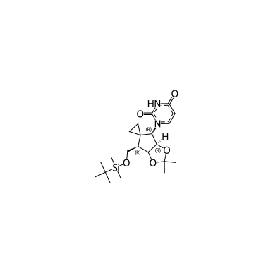 CC1(C)OC2[C@@H](CO[Si](C)(C)C(C)(C)C)C3(CC3)[C@@H](n3ccc(=O)[nH]c3=O)[C@H]2O1